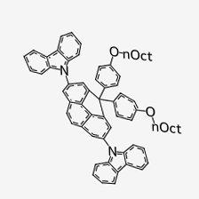 CCCCCCCCOc1ccc(C2(c3ccc(OCCCCCCCC)cc3)c3cc(-n4c5ccccc5c5ccccc54)cc4ccc5cc(-n6c7ccccc7c7ccccc76)cc2c5c34)cc1